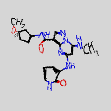 CNc1cc(Nc2ccc[nH]c2=O)nc2c(C(=O)NC3CC[C@H](OC)C3)cnn12